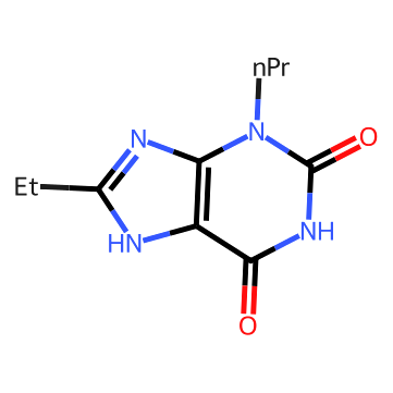 CCCn1c(=O)[nH]c(=O)c2[nH]c(CC)nc21